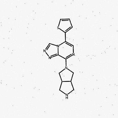 c1csc(-c2cnc(N3CC4CNCC4C3)c3nncn23)c1